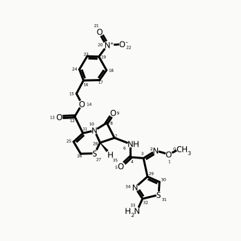 CON=C(C(=O)NC1C(=O)N2C(C(=O)OCc3ccc([N+](=O)[O-])cc3)=CCS[C@@H]12)c1csc(N)n1